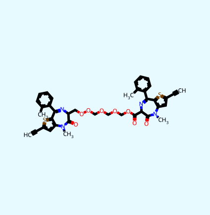 C#Cc1cc2c(s1)C(c1ccccc1C)=NC(COOCOCOCOC(=O)C1N=C(c3ccccc3C)c3sc(C#C)cc3N(C)C1=O)C(=O)N2C